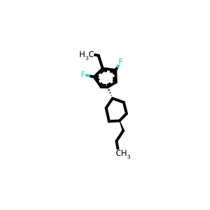 CCC[C@H]1CC[C@H](c2cc(F)c(CC)c(F)c2)CC1